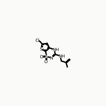 C=C(C)CNC1=NS(=O)(=O)c2sc(Cl)cc2N1